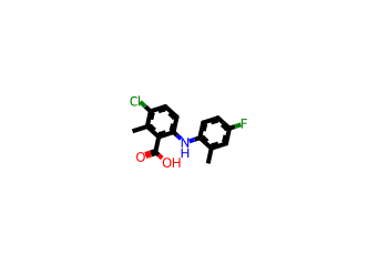 Cc1cc(F)ccc1Nc1ccc(Cl)c(C)c1C(=O)O